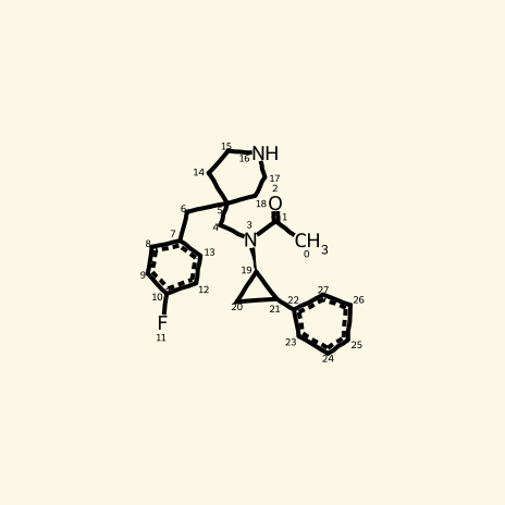 CC(=O)N(CC1(Cc2ccc(F)cc2)CCNCC1)[C@@H]1CC1c1ccccc1